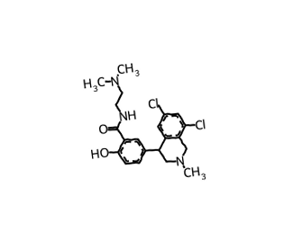 CN(C)CCNC(=O)c1cc(C2CN(C)Cc3c(Cl)cc(Cl)cc32)ccc1O